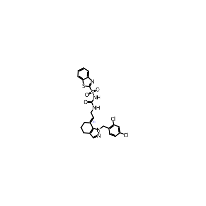 O=C(NC/C=C1\CCCc2cnn(Cc3ccc(Cl)cc3Cl)c21)NS(=O)(=O)c1nc2ccccc2s1